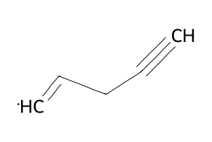 [CH]=CCC#C